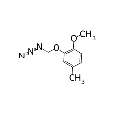 COc1ccc(C)cc1OCN=[N+]=[N-]